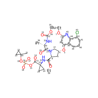 CCOc1cc(O[C@@H]2C[C@@H](C(=O)N[C@]3(C(=O)OS(=O)(=O)OC4(C)CC4)C[C@H]3CC)N(C(=O)[C@@H](NC(=O)OC(C)(C)C)C(C)C)C2)c2cccc(Cl)c2n1